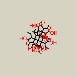 CCC(C(=O)O)C(CCC(C(CC)C(=O)O)(C(CC)C(=O)O)C(C(CC)C(=O)O)(C(CC)C(=O)O)C(C(CC)C(=O)O)(C(CC)C(=O)O)C(CC)C(=O)O)(C(CC)C(=O)O)C(CC)C(=O)O